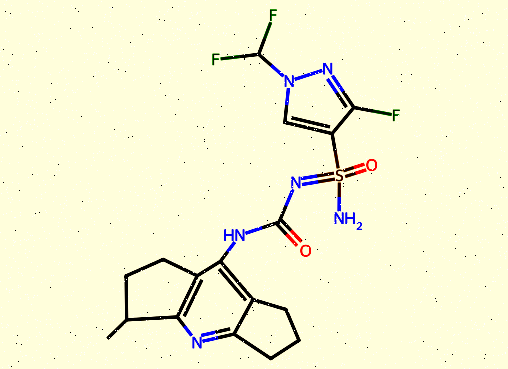 CC1CCc2c1nc1c(c2NC(=O)N=S(N)(=O)c2cn(C(F)F)nc2F)CCC1